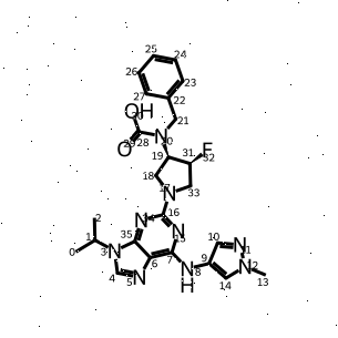 CC(C)n1cnc2c(Nc3cnn(C)c3)nc(N3C[C@@H](N(Cc4ccccc4)C(=O)O)[C@@H](F)C3)nc21